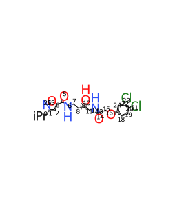 CC(C)c1cc(C(=O)NCC[C@H](O)CNC(=O)COc2ccc(Cl)c(Cl)c2)on1